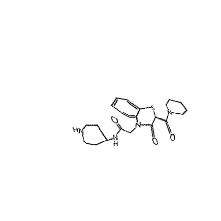 O=C(CN1C(=O)C(C(=O)N2CCCCC2)Sc2ccccc21)NC1CCNCC1